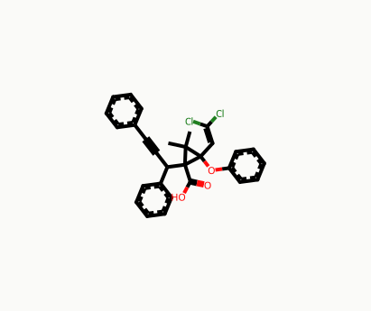 CC1(C)C(C=C(Cl)Cl)(Oc2ccccc2)C1(C(=O)O)C(C#Cc1ccccc1)c1ccccc1